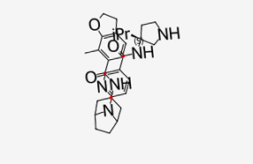 Cc1c(C(=O)NC2CC3CCC(C2)N3c2ccc(C(=O)N[C@]3(C(C)C)CCNC3)cn2)ccc2c1OCC2